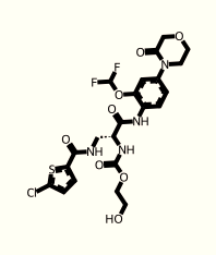 O=C(N[C@H](CNC(=O)c1ccc(Cl)s1)C(=O)Nc1ccc(N2CCOCC2=O)cc1OC(F)F)OCCO